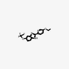 CCOc1ccc(-c2nc3cc(OC(F)(F)F)ccc3[nH]2)nc1